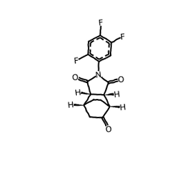 O=C1C[C@H]2CC[C@@H]1[C@H]1C(=O)N(c3cc(F)c(F)cc3F)C(=O)[C@@H]21